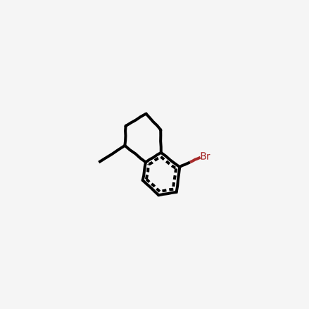 CC1CCCc2c(Br)cccc21